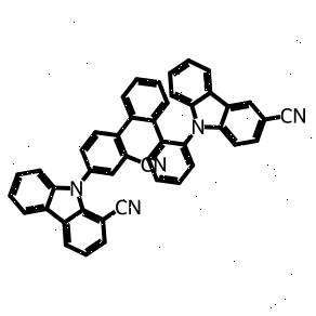 N#Cc1ccc2c(c1)c1ccccc1n2-c1ccccc1-c1ccccc1-c1ccc(-n2c3ccccc3c3cccc(C#N)c32)cc1C#N